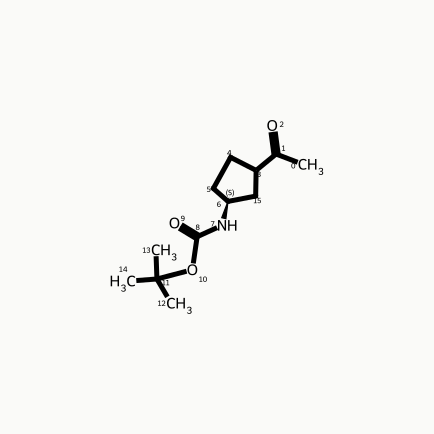 CC(=O)C1CC[C@H](NC(=O)OC(C)(C)C)C1